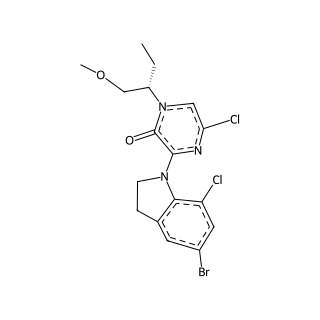 CC[C@@H](COC)n1cc(Cl)nc(N2CCc3cc(Br)cc(Cl)c32)c1=O